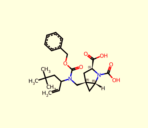 C=CC(CC(C)(C)C)N(C[C@@]12C[C@@H](C(=O)O)N(C(=O)O)[C@@H]1C2)C(=O)OCc1ccccc1